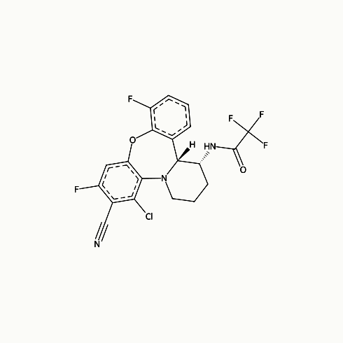 N#Cc1c(F)cc2c(c1Cl)N1CCC[C@@H](NC(=O)C(F)(F)F)[C@H]1c1cccc(F)c1O2